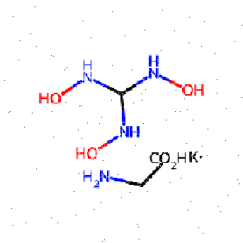 NCC(=O)O.ONC(NO)NO.[K]